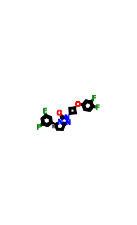 O=c1n2c(nn1[C@H]1C[C@H](Oc3ccc(F)c(F)c3)C1)CC[C@H]2c1cc(F)cc(F)c1